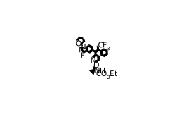 CCOC(=O)NC1(COc2ccc(/C(=C(/CC(F)(F)F)c3ccccc3)c3ccc4c(c3)c(F)nn4C3CCCCO3)cn2)CC1